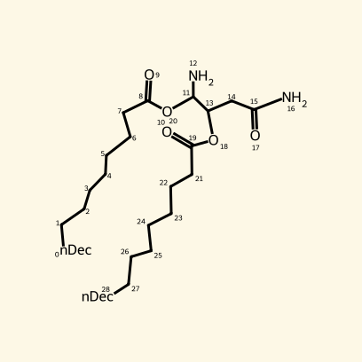 CCCCCCCCCCCCCCCCCC(=O)OC(N)C(CC(N)=O)OC(=O)CCCCCCCCCCCCCCCCC